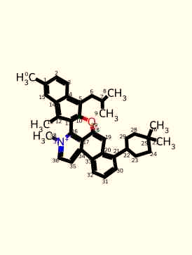 Cc1ccc2c(CC(C)C)c3c(c(C)c2c1)-c1c2c(cc4c(C5CCC(C)(C)CC5)cccc4c2cc[n+]1C)O3